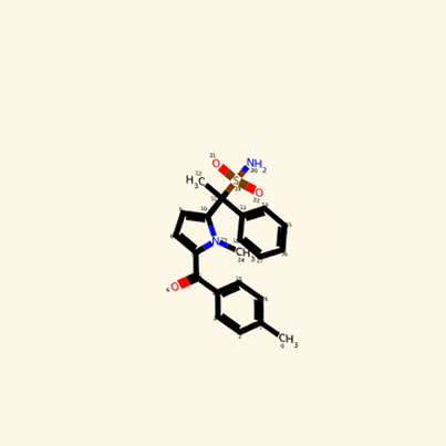 Cc1ccc(C(=O)c2ccc(C(C)(c3ccccc3)S(N)(=O)=O)n2C)cc1